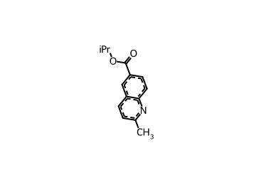 Cc1ccc2cc(C(=O)OC(C)C)ccc2n1